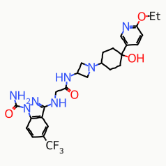 CCOc1ccc(C2(O)CCC(N3CC(NC(=O)CNc4nn(C(N)=O)c5ccc(C(F)(F)F)cc45)C3)CC2)cn1